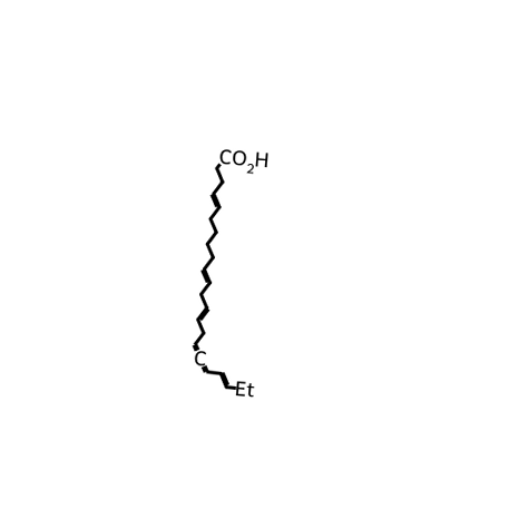 CCC=CC=C=CCC=CCC=CCCCCC=CCCC(=O)O